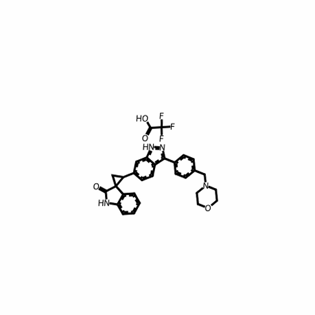 O=C(O)C(F)(F)F.O=C1Nc2ccccc2C12CC2c1ccc2c(-c3ccc(CN4CCOCC4)cc3)n[nH]c2c1